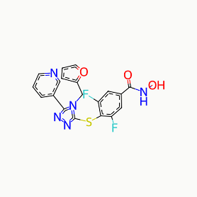 O=C(NO)c1cc(F)c(Sc2nnc(-c3cccnc3)n2Cc2ccco2)c(F)c1